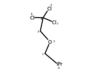 CC(C)COCC(Cl)(Cl)Cl